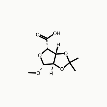 CO[C@@H]1O[C@H](C(=O)O)[C@@H]2OC(C)(C)O[C@@H]12